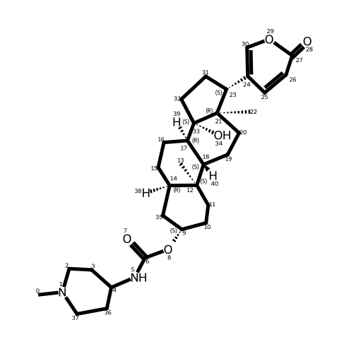 CN1CCC(NC(=O)O[C@H]2CC[C@@]3(C)[C@H](CC[C@@H]4[C@@H]3CC[C@]3(C)[C@@H](c5ccc(=O)oc5)CC[C@]43O)C2)CC1